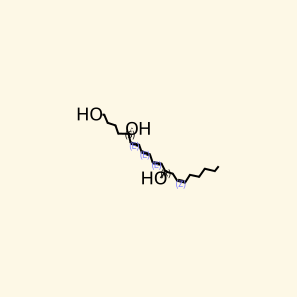 CCCCC/C=C\C[C@@H](O)/C=C/C=C/C=C/[C@@H](O)CCCCO